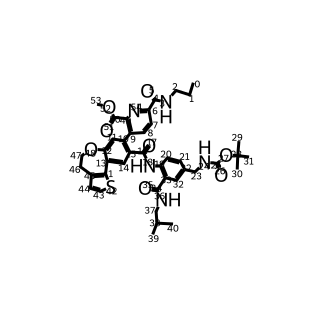 CCCNC(=O)c1ccc(-c2cc3c(cc2C(=O)Nc2ccc(CNC(=O)OC(C)(C)C)cc2C(=O)NCC(C)C)-c2sccc2CCO3)c(C(=O)OC)n1